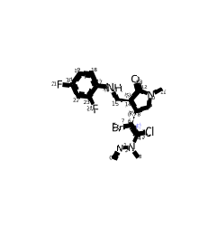 C=NN(C)/C(Cl)=C(\Br)[C@H]1CN(C)C(=O)[C@@H]1CNc1ccc(F)cc1F